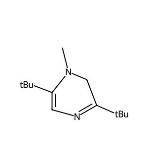 CN1CC(C(C)(C)C)=NC=C1C(C)(C)C